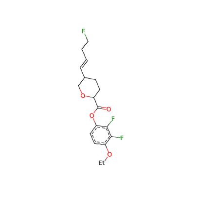 CCOc1ccc(OC(=O)C2CCC(/C=C/CCF)CO2)c(F)c1F